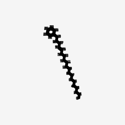 CCCCCCCCCCCCCCCC=CCCCc1[c]cccc1